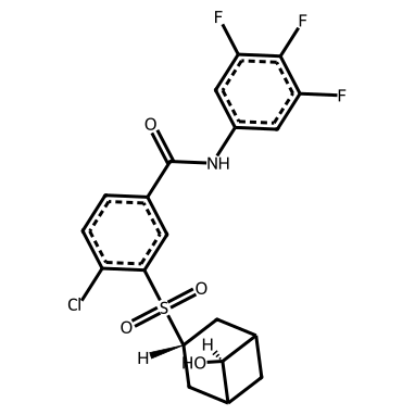 O=C(Nc1cc(F)c(F)c(F)c1)c1ccc(Cl)c(S(=O)(=O)[C@H]2CC3CC(C2)[C@@H]3O)c1